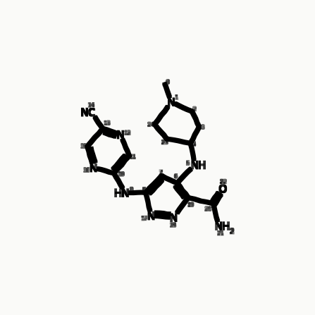 CN1CCC(Nc2cc(Nc3cnc(C#N)cn3)nnc2C(N)=O)CC1